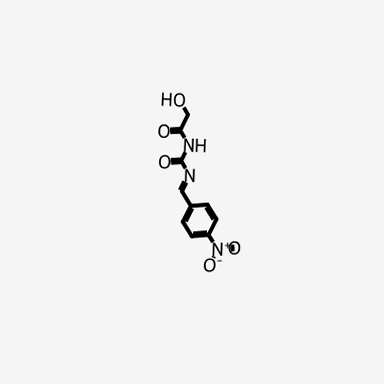 O=C(CO)NC(=O)N=Cc1ccc([N+](=O)[O-])cc1